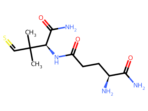 CC(C)(C=S)[C@H](NC(=O)CC[C@H](N)C(N)=O)C(N)=O